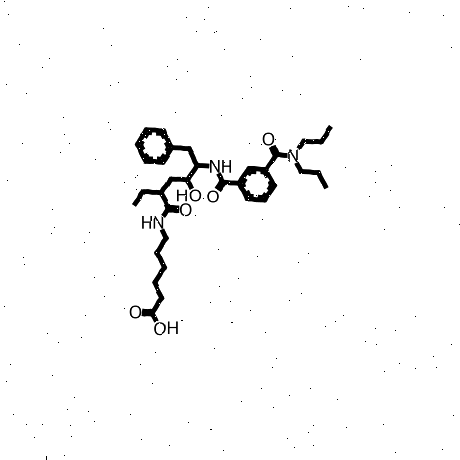 CCCN(CCC)C(=O)c1cccc(C(=O)NC(Cc2ccccc2)C(O)CC(CC)C(=O)NCCCCCC(=O)O)c1